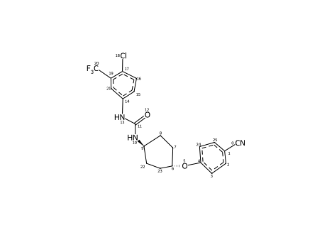 N#Cc1ccc(O[C@H]2CC[C@H](NC(=O)Nc3ccc(Cl)c(C(F)(F)F)c3)CC2)cc1